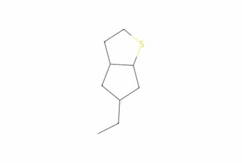 CCC1CC2CCSC2C1